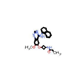 C=CC(=O)NC1CC(Oc2cc3c(Nc4cccc5ccccc45)ncnc3cc2OC)C1